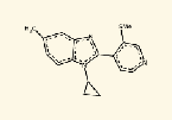 CSc1cnccc1-c1nc2cc(C)ccc2n1C1CC1